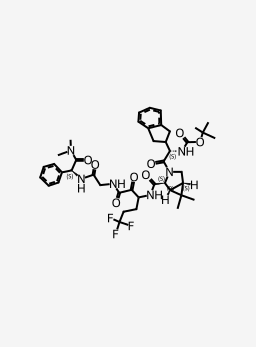 CN(C)C(=O)[C@@H](NC(=O)CNC(=O)C(=O)C(CCC(F)(F)F)NC(=O)[C@@H]1[C@@H]2[C@H](CN1C(=O)[C@@H](NC(=O)OC(C)(C)C)C1Cc3ccccc3C1)C2(C)C)c1ccccc1